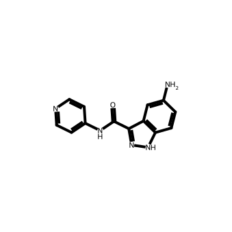 Nc1ccc2[nH]nc(C(=O)Nc3ccncc3)c2c1